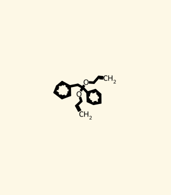 C=CCOC(Cc1ccccc1)(OCC=C)c1ccccc1